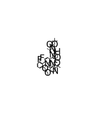 COCOc1cccc(F)c1-c1nc2c(cc1F)c1c(c(=O)n2-c2c(C)ccnc2C(C)C)OC[C@H]2CN(C(=O)OC(C)(C)C)[C@H](C)CN12